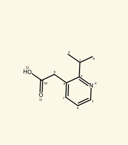 CC(C)c1ncccc1CC(=O)O